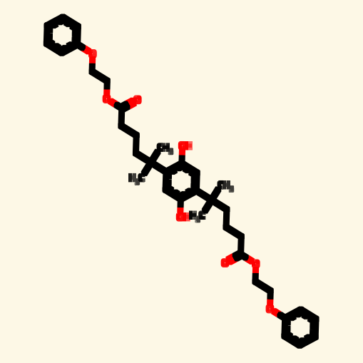 CC(C)(CCCC(=O)OCCOc1ccccc1)c1cc(O)c(C(C)(C)CCCC(=O)OCCOc2ccccc2)cc1O